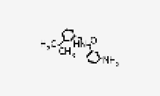 CC(C)c1cccc(CNC(=O)c2cccc(N)c2)c1